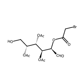 CC(=O)O[C@H]([C@H](OC(C)=O)[C@H](C=O)OC(=O)CBr)[C@@H](CO)OC(C)=O